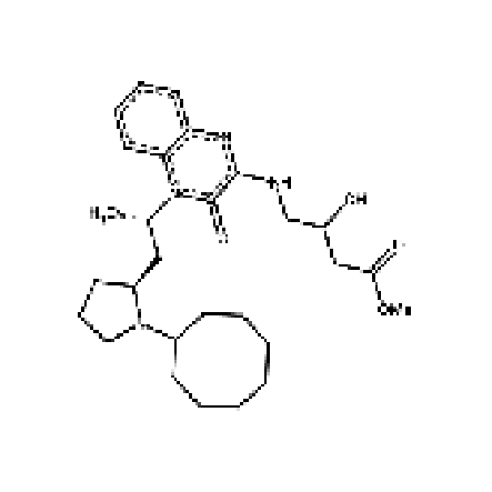 COC(=O)CC(O)CNc1nc2ccccc2n([C@@H](C)C[C@@H]2CCCN2C2CCCCCCC2)c1=O